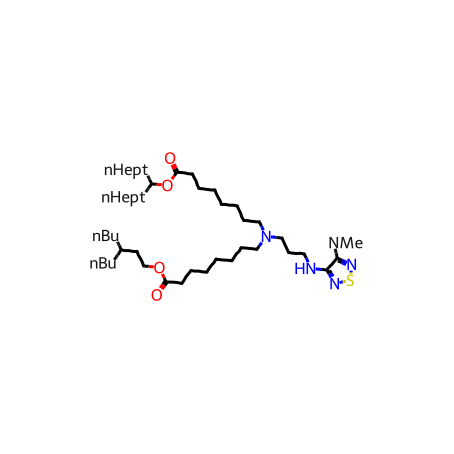 CCCCCCCC(CCCCCCC)OC(=O)CCCCCCCN(CCCCCCCC(=O)OCCC(CCCC)CCCC)CCCNc1nsnc1NC